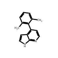 Cc1cccc(C)c1-c1ccnc2[nH]ccc12